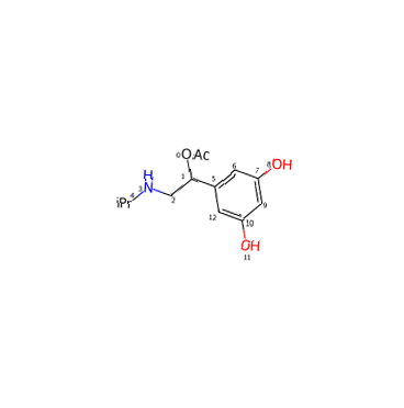 CC(=O)OC(CNC(C)C)c1cc(O)cc(O)c1